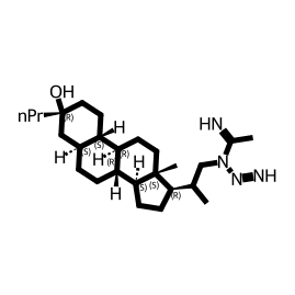 CCC[C@@]1(O)CC[C@H]2[C@@H](CC[C@@H]3[C@@H]2CC[C@]2(C)[C@@H](C(C)CN(N=N)C(C)=N)CC[C@@H]32)C1